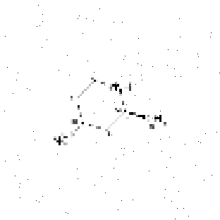 C[C@H]1C[C@H](C#N)CCN1